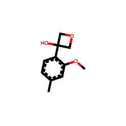 COc1cc(C)ccc1C1(O)COC1